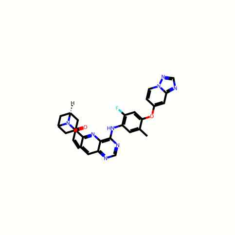 C=CC(=O)N1C2CC(c3ccc4ncnc(Nc5cc(C)c(Oc6ccn7ncnc7c6)cc5F)c4n3)C[C@@H]1C2